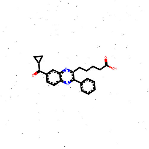 O=C(O)CCCCc1nc2cc(C(=O)C3CC3)ccc2nc1-c1ccccc1